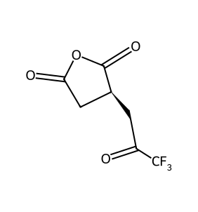 O=C1C[C@H](CC(=O)C(F)(F)F)C(=O)O1